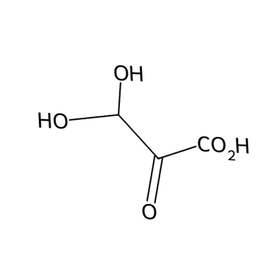 O=C(O)C(=O)C(O)O